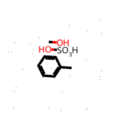 CO.Cc1ccccc1.O=S(=O)(O)O